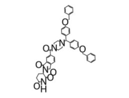 O=C1CCC(N2C(=O)c3ccc(C(=O)N4CCN(C(c5ccc(OCc6ccccc6)cc5)c5ccc(OCc6ccccc6)cc5)CC4)cc3C2=O)C(=O)N1